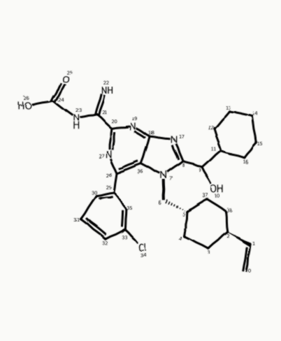 C=C[C@H]1CC[C@H](Cn2c(C(O)C3CCCCC3)nc3nc(C(=N)NC(=O)O)nc(-c4cccc(Cl)c4)c32)CC1